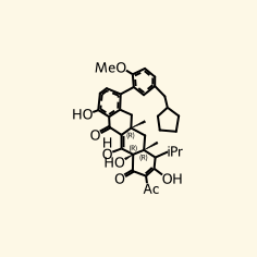 COc1ccc(CC2CCCC2)cc1-c1ccc(O)c2c1C[C@]1(C)C[C@]3(C)C(C(C)C)C(O)=C(C(C)=O)C(=O)[C@]3(O)C(O)=C1C2=O